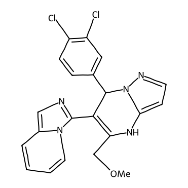 COCC1=C(c2ncc3ccccn23)C(c2ccc(Cl)c(Cl)c2)n2nccc2N1